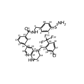 NSc1ccc(CNC(=O)c2cccc(-c3cnc4c(c3)N(Cc3cc(Cl)ccc3C(F)(F)F)CCN4)c2)cc1